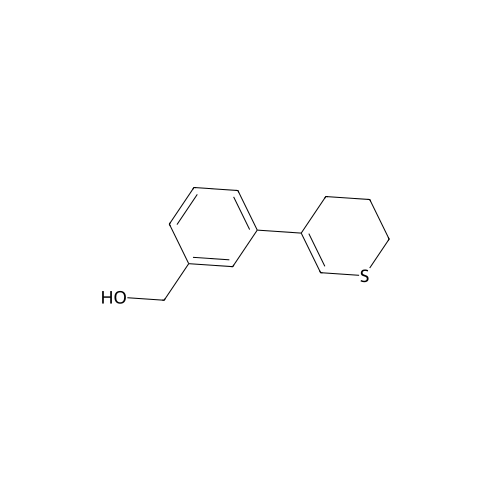 OCc1cccc(C2=CSCCC2)c1